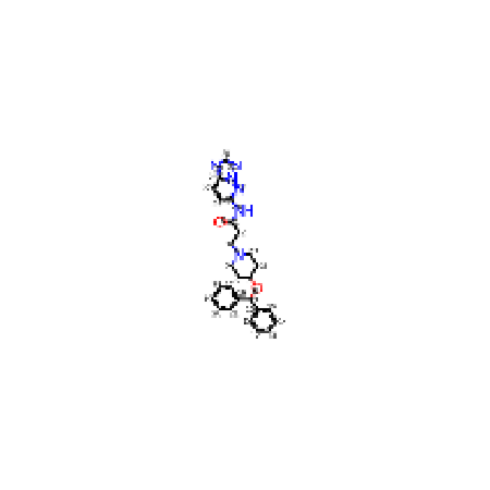 O=C(CCN1CCC(OC(c2ccccc2)c2ccccc2)CC1)Nc1ccc2ncnn2n1